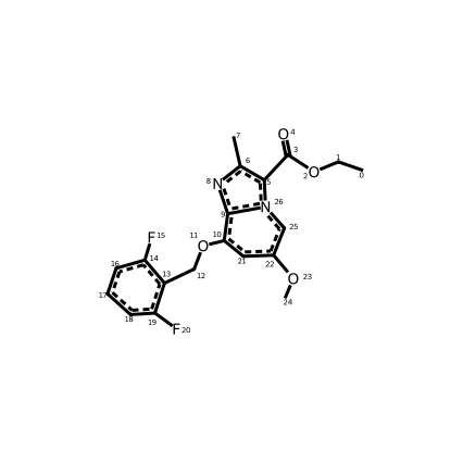 CCOC(=O)c1c(C)nc2c(OCc3c(F)cccc3F)cc(OC)cn12